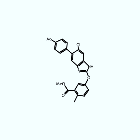 COC(=O)c1cc(Oc2nc3cc(-c4ccc(C(C)=O)cc4)c(Cl)cc3[nH]2)ccc1C